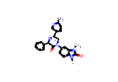 Cn1c(=O)n(C)c2cc(N(CCc3ccc(C(F)(F)F)nc3)C(=O)C(N)c3ccccc3)ccc21